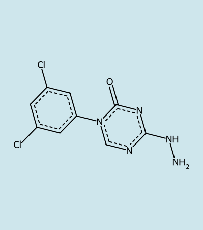 NNc1ncn(-c2cc(Cl)cc(Cl)c2)c(=O)n1